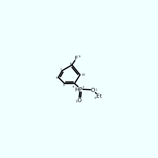 CCO[PH](=O)c1cccc(F)c1